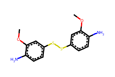 COc1cc(SSc2ccc(N)c(OC)c2)ccc1N